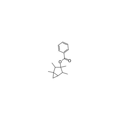 CC1C2CC2(C)C(C)C1(C)OC(=O)c1ccccc1